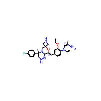 C=CN(/C=C(/C)N)c1ccc(/C=C2\OC3(CNC3)CN3C2=NNCC3(C)c2ccc(F)cc2)cc1OCC